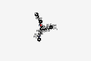 Cc1cc(C(=O)NC[C@@H](O)[C@@H](O)[C@@H]2O[C@@](C/C=C/c3cccc(CNC(=O)CC4CCOCC4)c3)(C(=O)O)C[C@H](O)C2NC(=O)CN(N)/C=C(\N)C2CCCCC2)cc(C)c1O